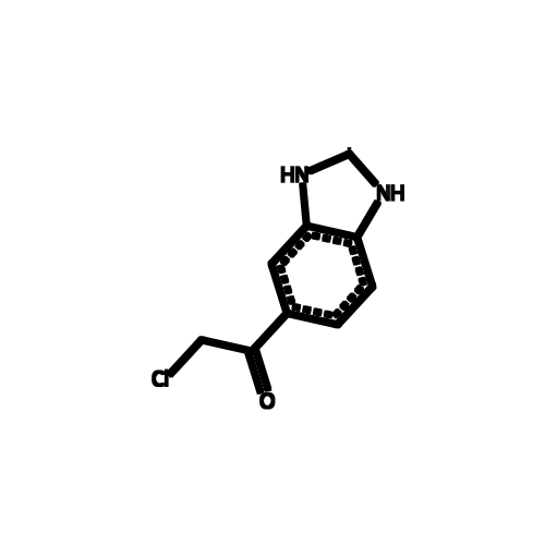 O=C(CCl)c1ccc2c(c1)N[CH]N2